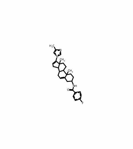 Cc1cn(C2=CCC3C4CC=C5CC(NC(=O)c6ccc(F)cc6)CCC5(C)C4CCC23C)cn1